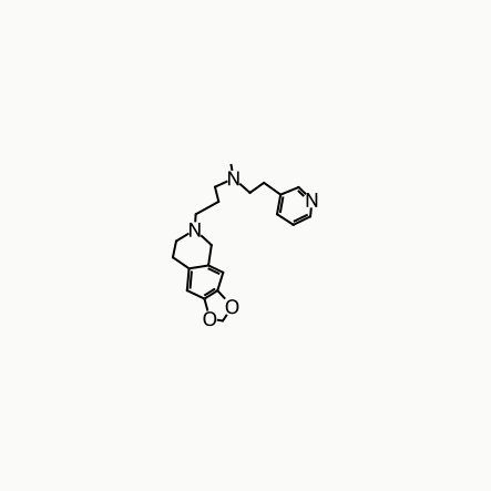 CN(CCCN1CCc2cc3c(cc2C1)OCO3)CCc1cccnc1